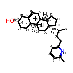 Cc1cccc(CCC(C)[C@H]2CC[C@H]3[C@@H]4CC=C5C[C@@H](O)CC[C@]5(C)[C@H]4CC[C@]23C)n1